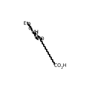 CCOCCOCCNCC(=O)CN1CCN(C(=O)CCCCCCCCCCCCCCCCCCCC(=O)O)CC1